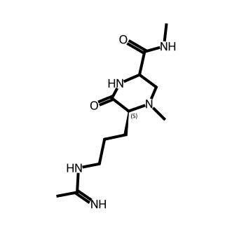 CNC(=O)C1CN(C)[C@@H](CCCNC(C)=N)C(=O)N1